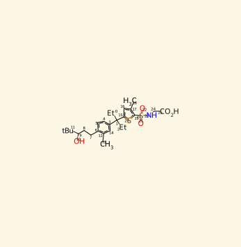 CCC(CC)(c1ccc(CCC(O)C(C)(C)C)c(C)c1)c1cc(C)c(S(=O)(=O)NCC(=O)O)s1